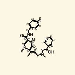 Cc1c(CN(C)CC(O)c2cccnc2)sc2c(=O)c(C(=O)NCc3ccc(F)cc3)cn(C)c12